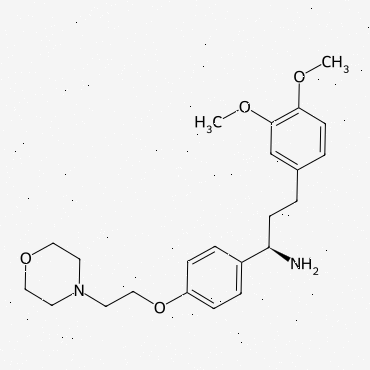 COc1ccc(CC[C@@H](N)c2ccc(OCCN3CCOCC3)cc2)cc1OC